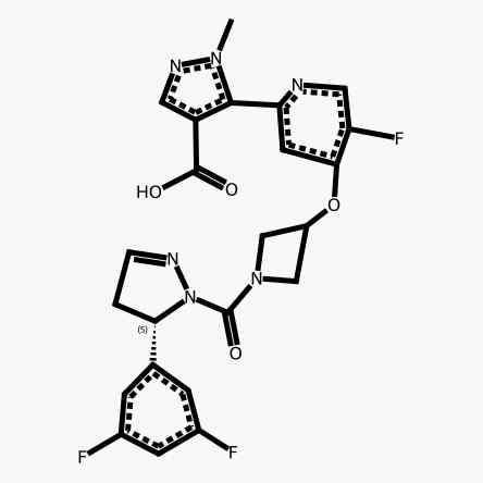 Cn1ncc(C(=O)O)c1-c1cc(OC2CN(C(=O)N3N=CC[C@H]3c3cc(F)cc(F)c3)C2)c(F)cn1